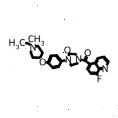 CC(C)N1CCC(Oc2ccc(N3CCN(C(=O)c4ccc(F)c5ncccc45)CC3=O)cc2)CC1